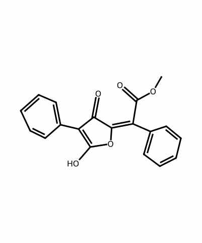 COC(=O)/C(=C1/OC(O)=C(c2ccccc2)C1=O)c1ccccc1